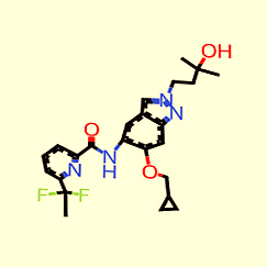 CC(C)(O)CCn1cc2cc(NC(=O)c3cccc(C(C)(F)F)n3)c(OCC3CC3)cc2n1